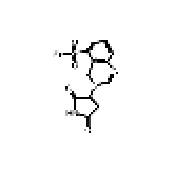 CCS(=O)(=O)c1cccc2c1CN(C1CC(=O)NC1=O)C=N2